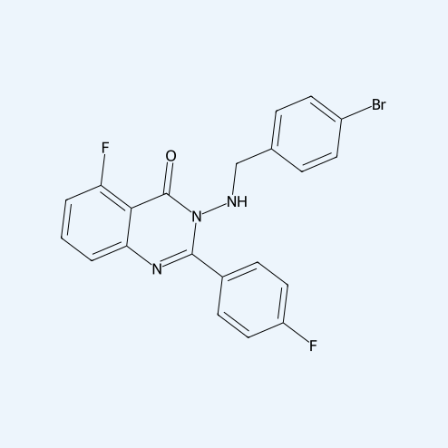 O=c1c2c(F)cccc2nc(-c2ccc(F)cc2)n1NCc1ccc(Br)cc1